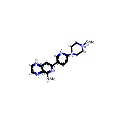 CNc1nc(-c2ccc(N3CCN(SC)CC3)nc2)cc2nccnc12